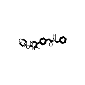 O=C(Cc1ccc(-c2cnc(ON3CCOCC3)nc2F)cc1)NCc1ccccc1